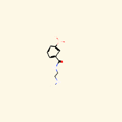 CNCCNC(=O)c1cccc(B(O)O)c1